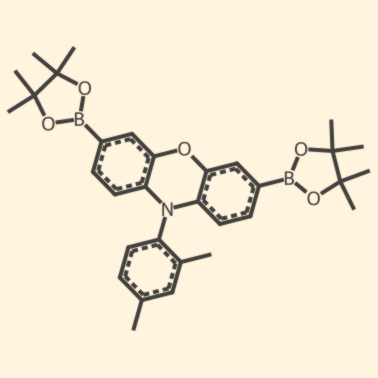 Cc1ccc(N2c3ccc(B4OC(C)(C)C(C)(C)O4)cc3Oc3cc(B4OC(C)(C)C(C)(C)O4)ccc32)c(C)c1